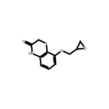 O=C1CSc2c(cccc2OCC2CO2)N1